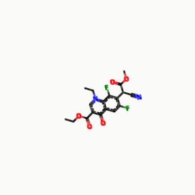 CCOC(=O)c1cn(CC)c2c(F)c(C(C#N)C(=O)OC)c(F)cc2c1=O